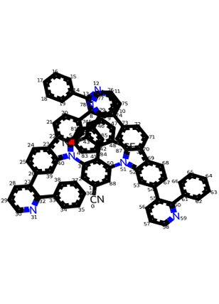 N#Cc1cc(-n2c3cc(-c4cccnc4-c4ccccc4)ccc3c3ccc(-c4cccnc4-c4ccccc4)cc32)c(-c2c(C#N)cccc2C(F)(F)F)c(-n2c3cc(-c4cccnc4-c4ccccc4)ccc3c3ccc(-c4cccnc4-c4ccccc4)cc32)c1